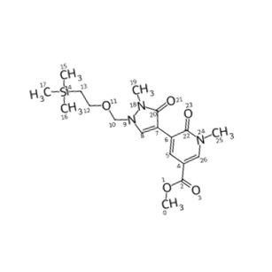 COC(=O)c1cc(-c2cn(COCC[Si](C)(C)C)n(C)c2=O)c(=O)n(C)c1